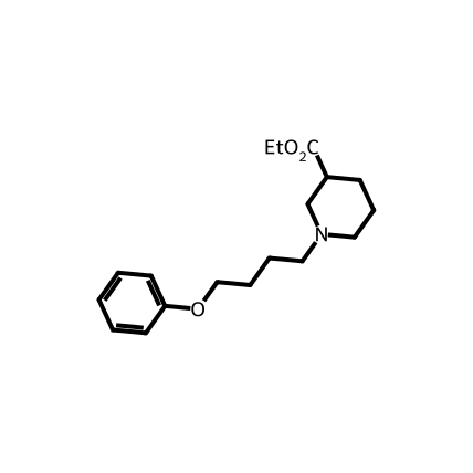 CCOC(=O)C1CCCN(CCCCOc2ccccc2)C1